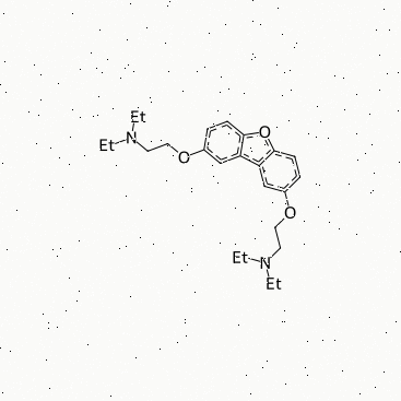 CCN(CC)CCOc1ccc2oc3ccc(OCCN(CC)CC)cc3c2c1